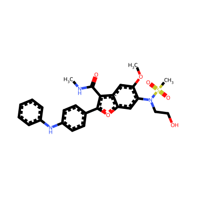 CNC(=O)c1c(-c2ccc(Nc3ccccc3)cc2)oc2cc(N(CCO)S(C)(=O)=O)c(OC)cc12